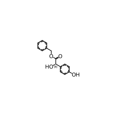 O=C(OCc1ccccc1)[C@H](O)c1ccc(O)cc1